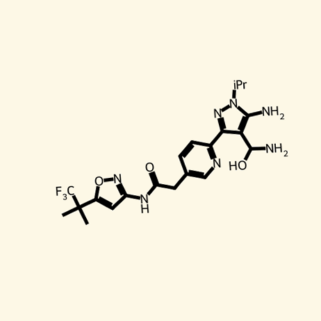 CC(C)n1nc(-c2ccc(CC(=O)Nc3cc(C(C)(C)C(F)(F)F)on3)cn2)c(C(N)O)c1N